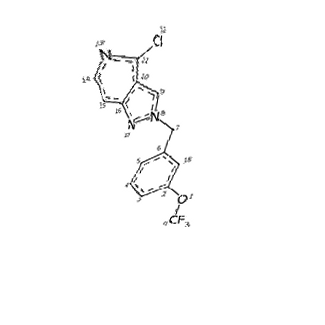 FC(F)(F)Oc1cccc(Cn2cc3c(Cl)nccc3n2)c1